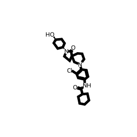 O=C(Nc1ccc(N2CCCC3(CCN([C@H]4CC[C@H](O)CC4)C3=O)C2)c(Cl)c1)C1CCCCC1